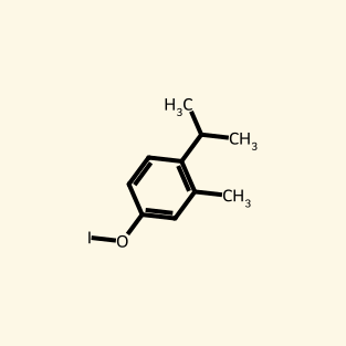 Cc1cc(OI)ccc1C(C)C